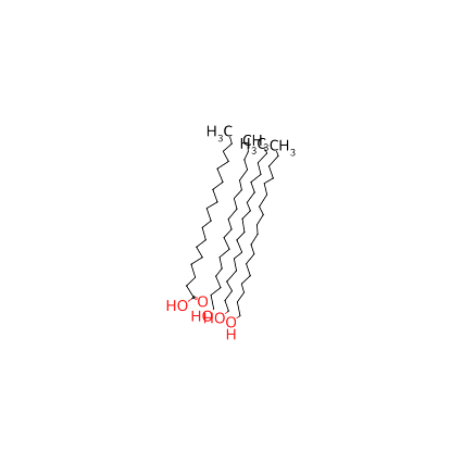 CCCCCCCCCCCCCCCCCC(=O)O.CCCCCCCCCCCCCCCCCCO.CCCCCCCCCCCCCCCCCCO.CCCCCCCCCCCCCCCCCCO